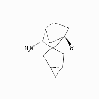 N[C@@H]1C2CC[C@@H](C2)C12CC1CC1C2